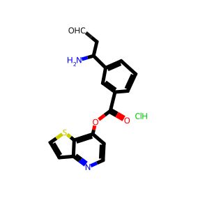 Cl.NC(CC=O)c1cccc(C(=O)Oc2ccnc3ccsc23)c1